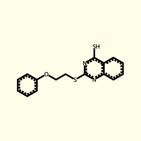 Sc1nc(SCCOc2ccccc2)nc2ccccc12